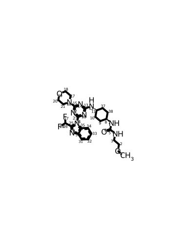 COCCNC(=O)N[C@H]1CC[C@H](Nc2nc(N3CCOCC3)nc(-n3c(C(F)F)nc4ccccc43)n2)CC1